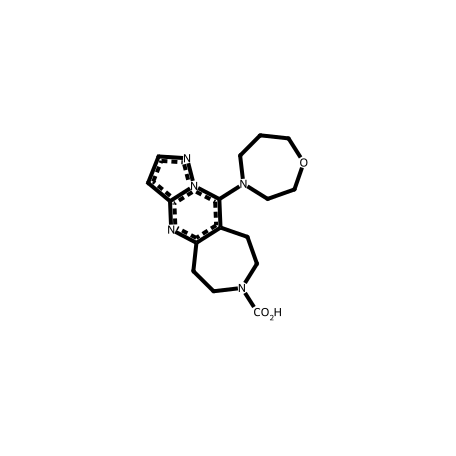 O=C(O)N1CCc2nc3ccnn3c(N3CCCOCC3)c2CC1